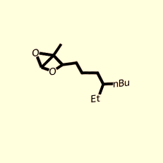 CCCCC(CC)CCCC1OC2OC12C